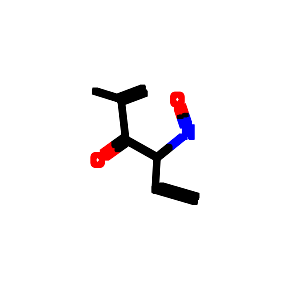 C=CC(N=O)C(=O)C(=C)C